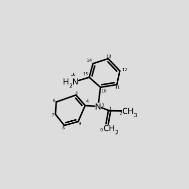 C=C(C)N(C1=CCCC=C1)c1ccccc1N